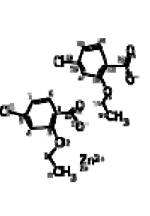 CCOc1cc(Cl)ccc1C(=O)[O-].CCOc1cc(Cl)ccc1C(=O)[O-].[Zn+2]